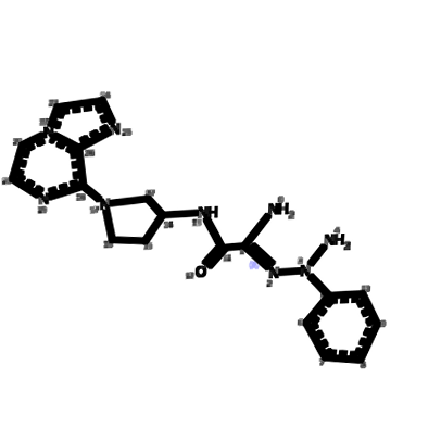 N/C(=N\N(N)c1ccccc1)C(=O)NC1CCN(c2nccn3ccnc23)C1